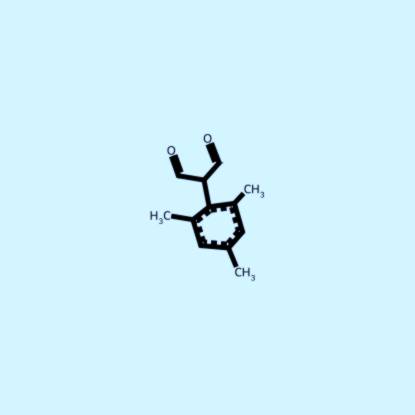 Cc1cc(C)c(C([C]=O)C=O)c(C)c1